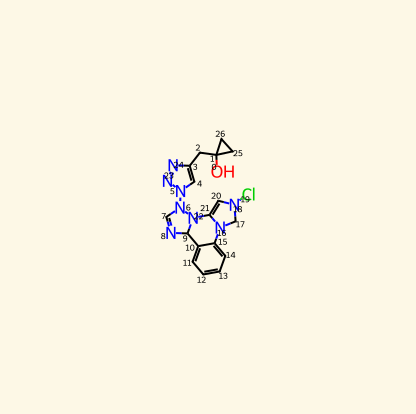 OC1(Cc2cn(N3C=NC4c5ccccc5N5CN(Cl)C=C5N43)nn2)CC1